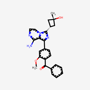 COc1cc(-c2nc([C@H]3C[C@@](C)(O)C3)n3ccnc(N)c23)ccc1C(=O)c1ccccc1